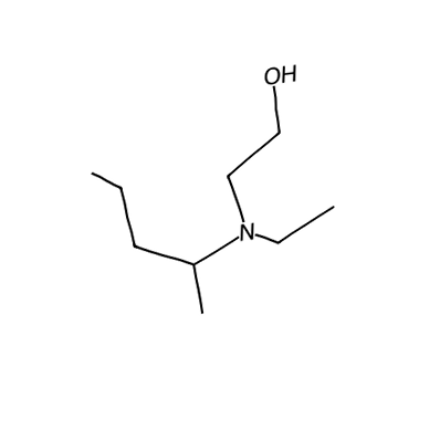 CCCC(C)N(CC)CCO